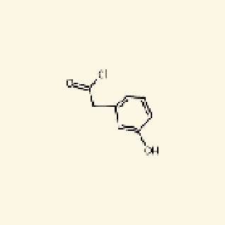 O=C(Cl)Cc1cccc(O)c1